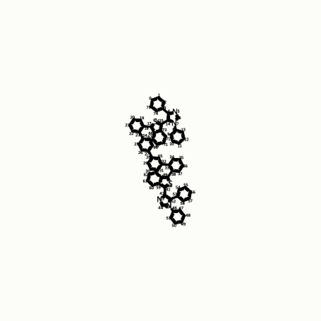 c1ccc(-c2ncn(-c3ccccc3)c2-c2sc(-c3ccccc3-c3ccc(-c4cccc(-c5ccccc5-c5sc(-c6ncn(-c7ccccc7)c6-c6ccccc6)c6ccccc56)c4)cc3)c3ccccc23)cc1